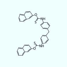 S=C(Nc1ccc(Cc2ccc(NC(=S)Oc3ccc4ccccc4c3)cc2)cc1)Oc1ccc2ccccc2c1